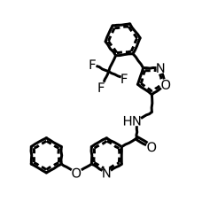 O=C(NCc1cc(-c2ccccc2C(F)(F)F)no1)c1ccc(Oc2ccccc2)nc1